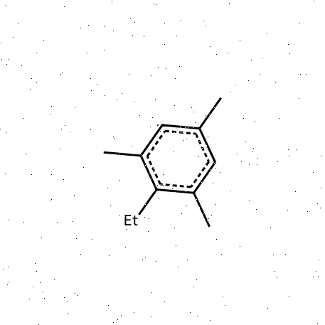 CCc1c(C)[c]c(C)cc1C